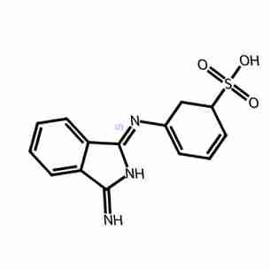 N=C1N/C(=N\C2=CC=CC(S(=O)(=O)O)C2)c2ccccc21